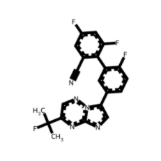 CC(C)(F)c1cnn2c(-c3ccc(F)c(-c4c(F)cc(F)cc4C#N)c3)cnc2n1